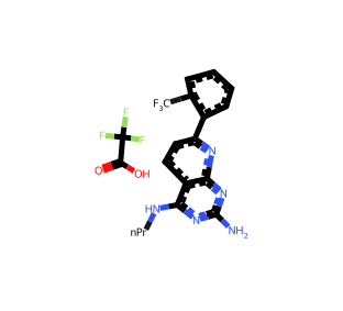 CCCNc1nc(N)nc2nc(-c3ccccc3C(F)(F)F)ccc12.O=C(O)C(F)(F)F